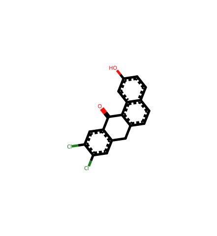 O=C1c2cc(Cl)c(Cl)cc2Cc2ccc3ccc(O)cc3c21